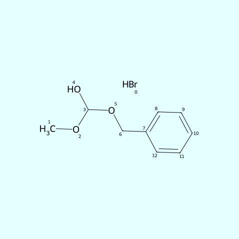 Br.COC(O)OCc1ccccc1